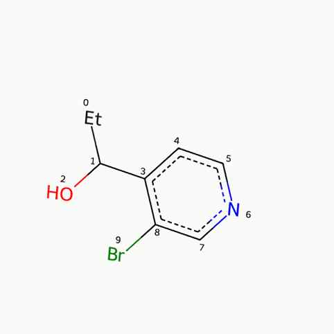 CCC(O)c1ccncc1Br